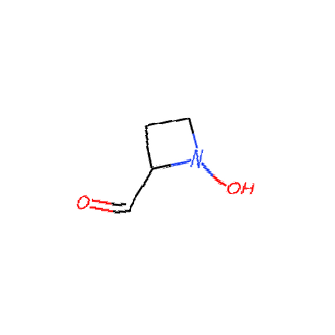 O=CC1CCN1O